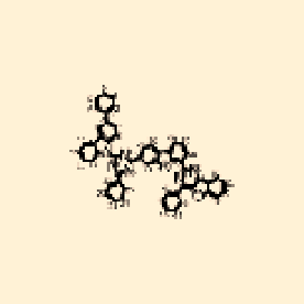 c1ccc(-c2ccc3c(c2)c2ccccc2n3-c2nc(-c3ccccc3)nc(-c3ccc4c(c3)oc3c(-c5nc(-c6ccccc6)c6oc7ccccc7c6n5)cccc34)n2)cc1